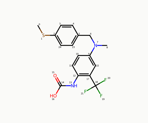 CSc1ccc(CN(C)c2ccc(NC(=O)O)c(C(F)(F)F)c2)cc1